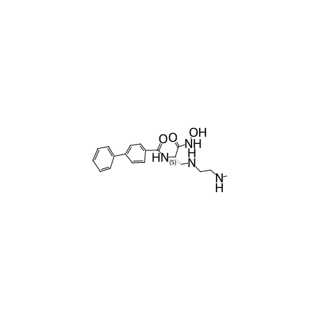 CNCCNC[C@H](NC(=O)c1ccc(-c2ccccc2)cc1)C(=O)NO